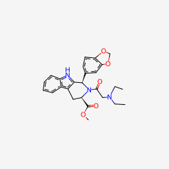 CCN(CC)CC(=O)N1[C@H](c2ccc3c(c2)OCO3)c2[nH]c3ccccc3c2C[C@@H]1C(=O)OC